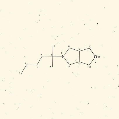 CCCCC(C)(C)N1CC2COCC2C1